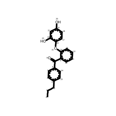 CCCc1ccc(C(=O)c2ccccc2Oc2ccc(O)cc2O)cc1